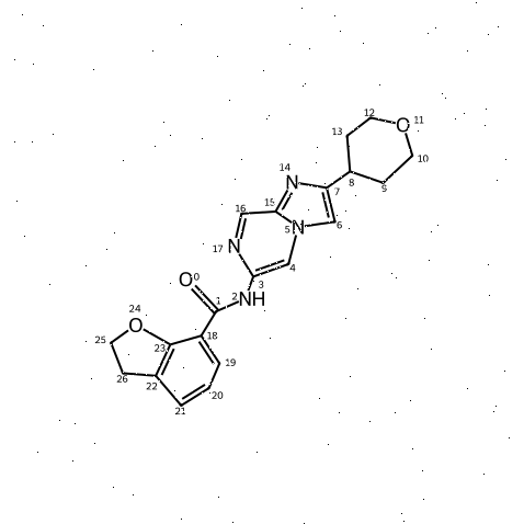 O=C(Nc1cn2cc(C3CCOCC3)nc2cn1)c1cccc2c1OCC2